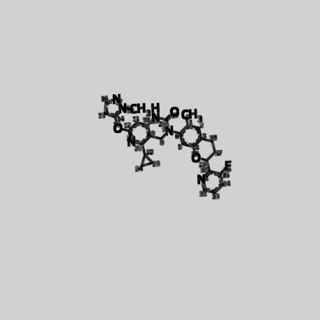 Cc1cc2c(cc1N1Cc3c(cc(Oc4ccnn4C)nc3C3CC3)NC1=O)OC(c1ncccc1F)CC2